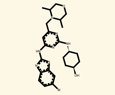 CC1COCC(C)N1Cc1cc(Nc2nc3ccc(Br)cc3s2)nc(N[C@H]2CC[C@H](O)CC2)n1